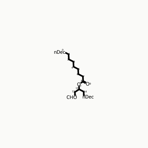 CCCCCCCCCCCCCCCCCC(=O)OC(CC=O)CCCCCCCCCCC